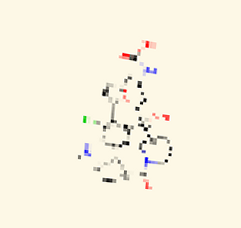 CN[C@H]1CC[C@@H](C(=O)N2CCC[C@@H]([C@@](O)(CCCNC(=O)O)c3cccc(Cl)c3-c3ccc(C)o3)C2)C1